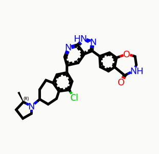 C[C@@H]1CCCN1C1CCc2cc(-c3cnc4[nH]nc(-c5ccc6c(c5)OCCNC6=O)c4c3)cc(Cl)c2CC1